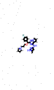 Cc1cc(Nc2nc(C(OCCCN3CCCC3)c3ccc(F)cc3)nn3cccc23)n[nH]1